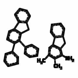 Cc1cc2c(c(N)c1C)Cc1ccccc1-2.c1ccc(-c2ccc3c(c2-c2ccccc2)Cc2ccccc2-3)cc1